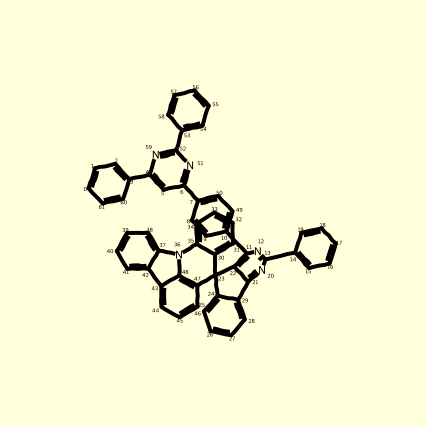 c1ccc(-c2cc(-c3ccc(-c4nc(-c5ccccc5)nc5c4C4(c6ccccc6-5)c5ccccc5-n5c6ccccc6c6cccc4c65)cc3)nc(-c3ccccc3)n2)cc1